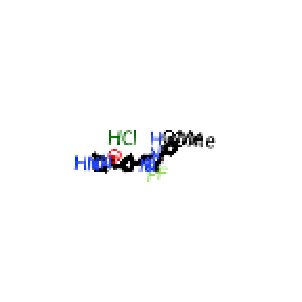 COc1ccc(C2CC(C(F)F)n3nc(-c4ccc(CC(=O)N5CC(C)NCC5C)cc4)cc3N2)cc1OC.Cl